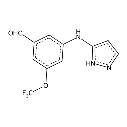 O=Cc1cc(Nc2ccn[nH]2)cc(OC(F)(F)F)c1